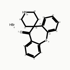 Br.O=C1c2ccccc2Sc2ccccc2C12CCNCC2